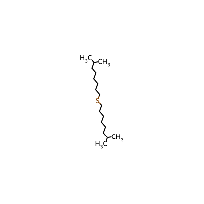 CC(C)CCCCCCSCCCCCCC(C)C